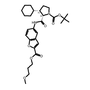 COCCCOC(=O)c1cc2cc(NC(=O)[C@@H]3[C@H](C4CCCCC4)CCN3C(=O)OC(C)(C)C)ccc2o1